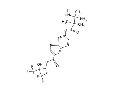 CC(N)(NI)C(C)(C)C(=O)Oc1ccc2cc(C(=O)OCC(O)(C(F)(F)F)C(F)(F)F)ccc2c1